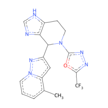 Cc1cccn2nc(C3c4nc[nH]c4CCN3c3nnc(C(F)(F)F)o3)cc12